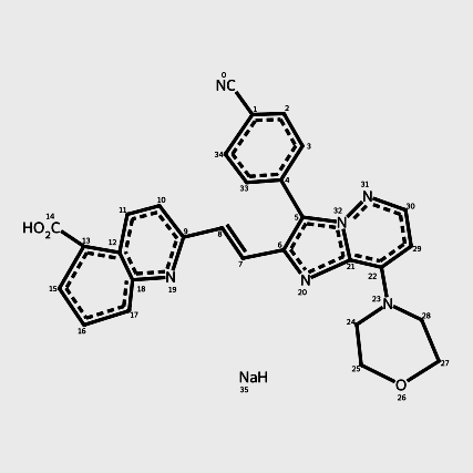 N#Cc1ccc(-c2c(C=Cc3ccc4c(C(=O)O)cccc4n3)nc3c(N4CCOCC4)ccnn23)cc1.[NaH]